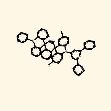 Cc1ccc2c(c1)C1(c3cc(C)ccc3N2c2cc(-c3ccccc3)nc(-c3ccccc3)n2)c2ccccc2C2(c3ccccc3N(c3ccccc3)c3ccccc32)c2ccccc21